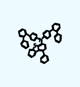 c1ccc(-c2ccccc2-c2ccc(N(c3ccc(-c4ccccc4-c4ccccc4)cc3)c3ccc(-c4ccccc4)c4c3sc3ccccc34)cc2)cc1